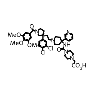 COc1cc(C(=O)N2CC[C@](CCN3CCC(NC(=O)N4CCN(CC(=O)O)CC4)(c4cccnc4)CC3)(c3ccc(Cl)c(Cl)c3)C2)cc(OC)c1OC